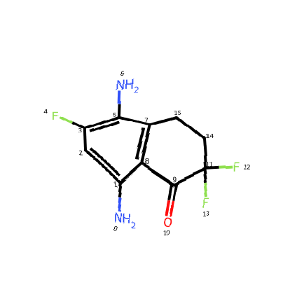 Nc1cc(F)c(N)c2c1C(=O)C(F)(F)CC2